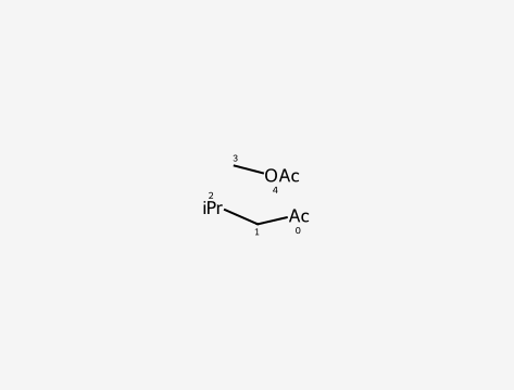 CC(=O)CC(C)C.COC(C)=O